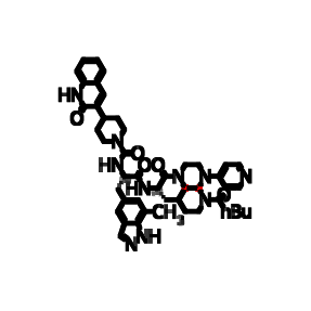 CCCCC(=O)N1CCC(C[C@H](NC(=O)[C@H](Cc2cc(C)c3[nH]ncc3c2)NC(=O)N2CCC(c3cc4ccccc4[nH]c3=O)CC2)C(=O)N2CCN(c3ccncc3)CC2)CC1